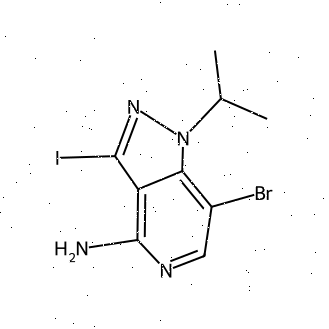 CC(C)n1nc(I)c2c(N)ncc(Br)c21